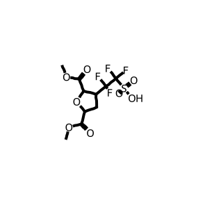 COC(=O)C1CC(C(F)(F)C(F)(F)S(=O)(=O)O)C(C(=O)OC)O1